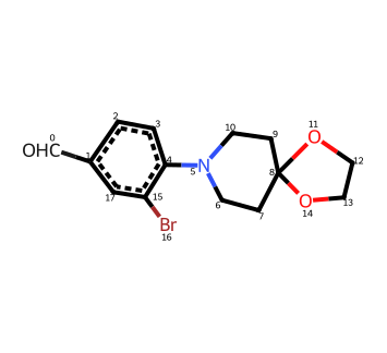 O=Cc1ccc(N2CCC3(CC2)OCCO3)c(Br)c1